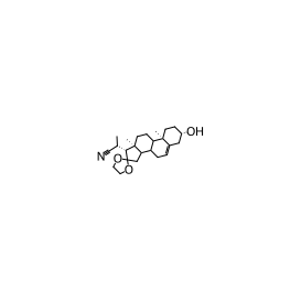 CC(C#N)[C@H]1C2(CC3C4CC=C5C[C@@H](O)CC[C@]5(C)C4CC[C@@]31C)OCCO2